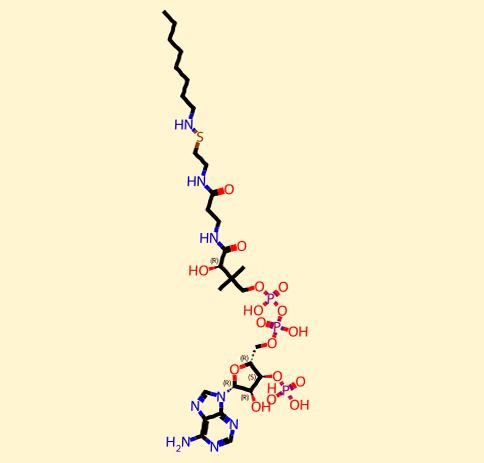 CCCCCCCCNSCCNC(=O)CCNC(=O)[C@H](O)C(C)(C)COP(=O)(O)OP(=O)(O)OC[C@H]1O[C@@H](n2cnc3c(N)ncnc32)[C@H](O)[C@@H]1OP(=O)(O)O